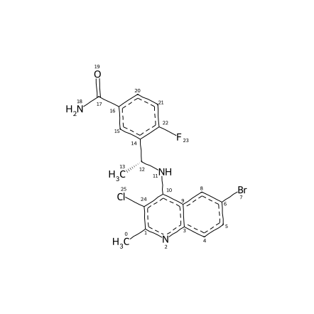 Cc1nc2ccc(Br)cc2c(N[C@H](C)c2cc(C(N)=O)ccc2F)c1Cl